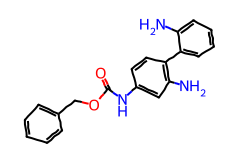 Nc1ccccc1-c1ccc(NC(=O)OCc2ccccc2)cc1N